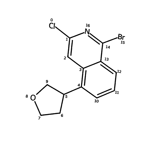 Clc1cc2c(C3CCOC3)cccc2c(Br)n1